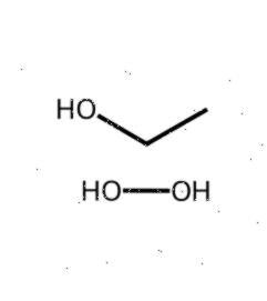 CCO.OO